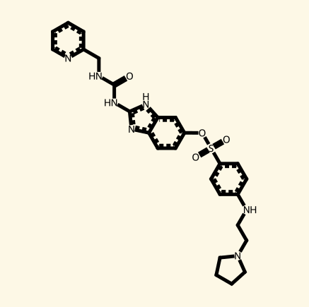 O=C(NCc1ccccn1)Nc1nc2ccc(OS(=O)(=O)c3ccc(NCCN4CCCC4)cc3)cc2[nH]1